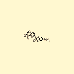 N[C@H]1C[C@@]2(CN(c3ccc4c(n3)NC(=O)CO4)C(=O)O2)C1